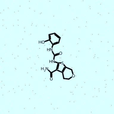 NC(=O)c1c(NC(=O)Nc2ccccc2O)sc2c1CCOC2